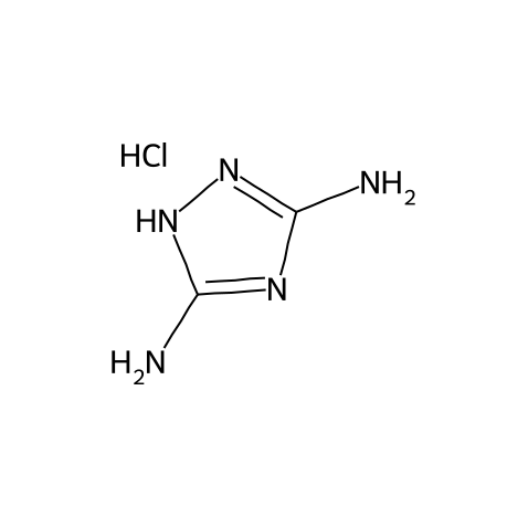 Cl.Nc1n[nH]c(N)n1